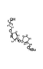 Cc1nc(OCCC(C)(C)O)ccc1OC1C=C(COC(C)(C)C)CCC1